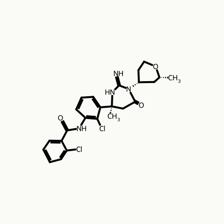 C[C@@H]1C[C@H](N2C(=N)N[C@](C)(c3cccc(NC(=O)c4ccccc4Cl)c3Cl)CC2=O)CCO1